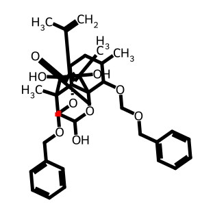 C=C(C)C1=C(C)C2(O)C(O)(C1=O)C1(C)CC(O)OC23C(OCOCc2ccccc2)C(C)CC[C@]13OCOCc1ccccc1